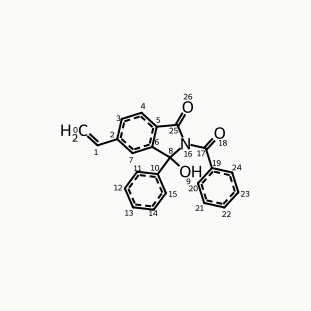 C=Cc1ccc2c(c1)C(O)(c1ccccc1)N(C(=O)c1ccccc1)C2=O